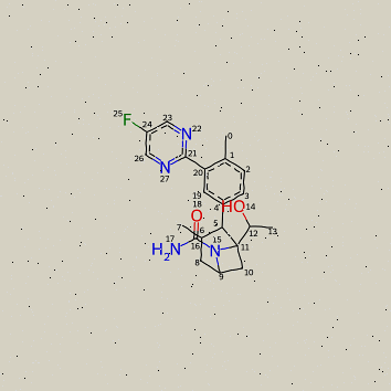 Cc1ccc(C2C(C)CC3CC2(C(C)O)N3C(N)=O)cc1-c1ncc(F)cn1